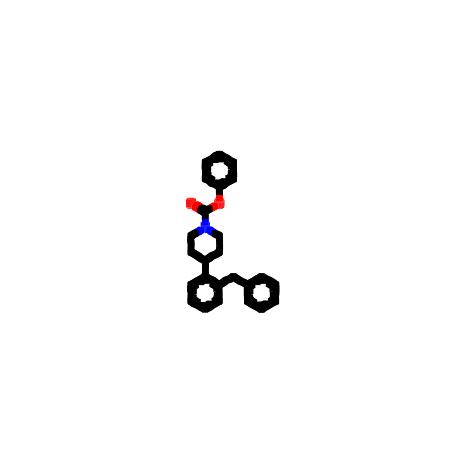 O=C(Oc1ccccc1)N1CCC(c2ccccc2Cc2ccccc2)CC1